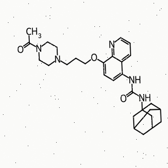 CC(=O)N1CCN(CCCOc2ccc(NC(=O)NC34CC5CC(CC(C5)C3)C4)c3cccnc23)CC1